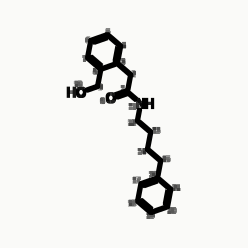 O=C(Cc1ccccc1CO)NCCCCc1ccccc1